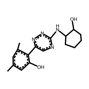 Cc1cc(C)c(-c2cnc(NC3CCCCC3O)nn2)c(O)c1